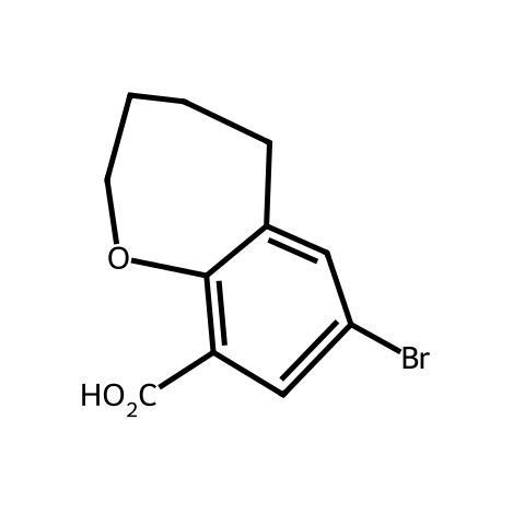 O=C(O)c1cc(Br)cc2c1OCCCC2